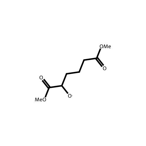 COC(=O)CCCC([O])C(=O)OC